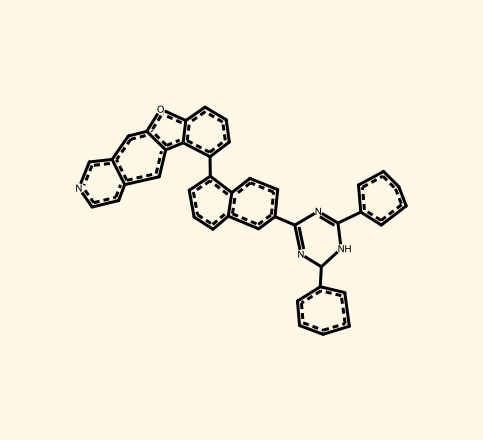 c1ccc(C2=NC(c3ccc4c(-c5cccc6oc7cc8cnccc8cc7c56)cccc4c3)=NC(c3ccccc3)N2)cc1